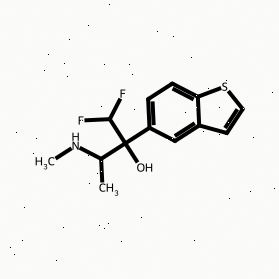 CNC(C)C(O)(c1ccc2sccc2c1)C(F)F